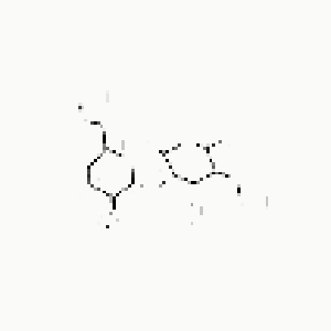 O=C(O)C1OC(O)C(OS(=O)(=O)O)[C@H](O)[C@H]1O[C@@H]1OC(COS(=O)(=O)O)C[C@@H](O)C1NS(=O)(=O)O